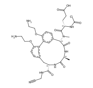 C[C@@H]1NC(=O)[C@@H](N(C)C(=O)[C@H](CCC(=O)O)NC(=O)Cl)c2ccc(OCCN)c(c2)-c2cc(ccc2OCCN)C[C@@H](C(=O)NCC#N)NC1=O